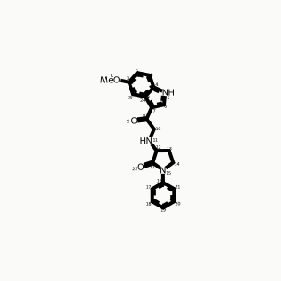 COc1ccc2[nH]cc(C(=O)CNC3CCN(c4ccccc4)C3=O)c2c1